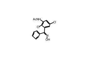 CC(=O)Nc1cc(Cl)cc(C(=NO)c2ccccc2)c1Cl